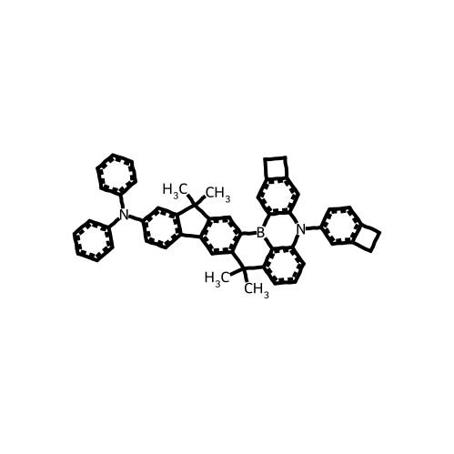 CC1(C)c2cc(N(c3ccccc3)c3ccccc3)ccc2-c2cc3c(cc21)B1c2cc4c(cc2N(c2ccc5c(c2)CC5)c2cccc(c21)C3(C)C)CC4